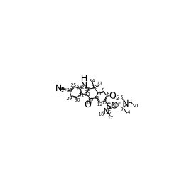 CCN(CC)CCOc1cc2c(cc1[S+]([O-])N(C)C)C(=O)c1c([nH]c3cc(C#N)ccc13)C2(C)C